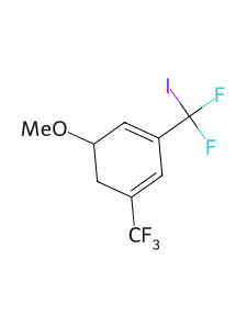 COC1C=C(C(F)(F)I)C=C(C(F)(F)F)C1